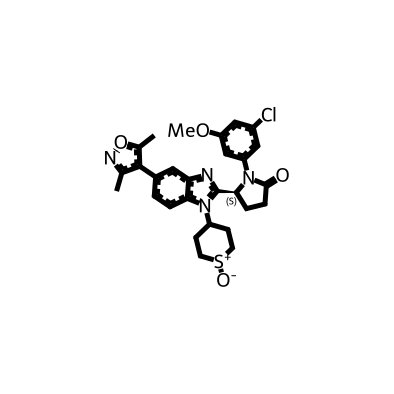 COc1cc(Cl)cc(N2C(=O)CC[C@H]2c2nc3cc(-c4c(C)noc4C)ccc3n2C2CC[S+]([O-])CC2)c1